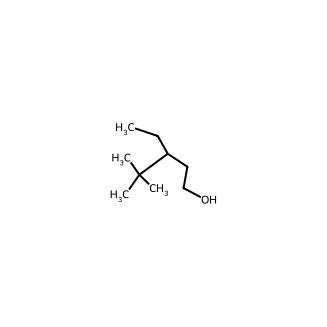 CCC(CCO)C(C)(C)C